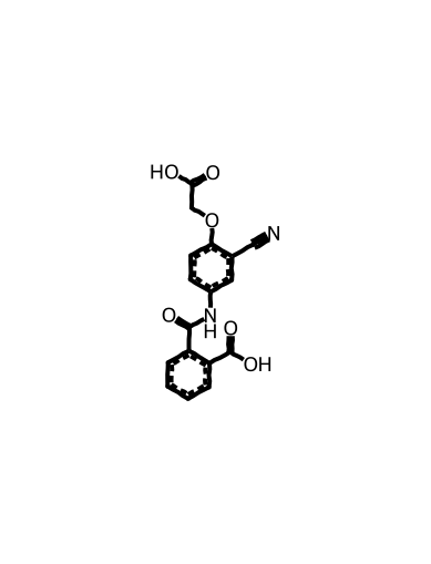 N#Cc1cc(NC(=O)c2ccccc2C(=O)O)ccc1OCC(=O)O